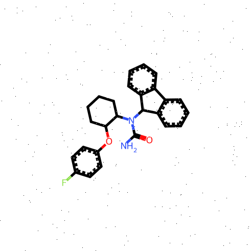 NC(=O)N(C1c2ccccc2-c2ccccc21)C1CCCCC1Oc1ccc(F)cc1